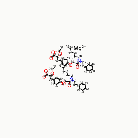 CCCCCCN(CCc1ccccc1)C(=O)COc1ccc(C[C@H](OCC)C(=O)[O-])cc1.CCCCCCN(CCc1ccccc1)C(=O)COc1ccc(C[C@H](OCC)C(=O)[O-])cc1.[Mg+2]